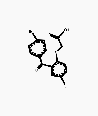 O=C(O)COc1ccc(Cl)cc1C(=O)c1ccc(Br)cc1